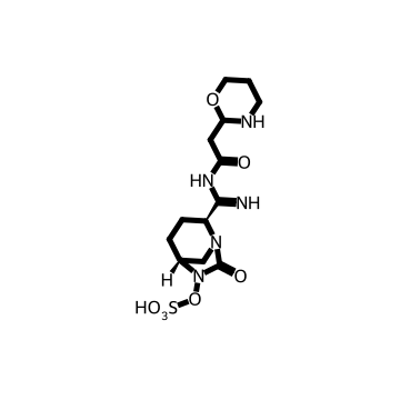 N=C(NC(=O)CC1NCCCO1)[C@@H]1CC[C@@H]2CN1C(=O)N2OS(=O)(=O)O